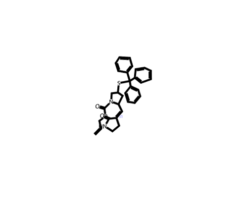 C=CCOC(=O)N1CC(SC(c2ccccc2)(c2ccccc2)c2ccccc2)CC1/C=C1/CCNC1=O